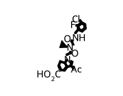 CC(=O)C1=CN(CC(=O)N(CC(=O)NCc2cccc(Cl)c2F)C2CC2)C2CC=C(C(=O)O)C=C12